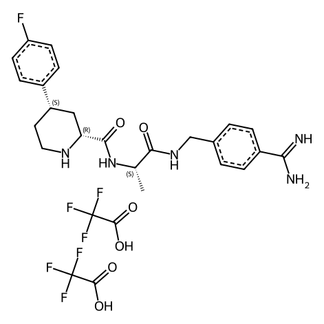 C[C@H](NC(=O)[C@H]1C[C@@H](c2ccc(F)cc2)CCN1)C(=O)NCc1ccc(C(=N)N)cc1.O=C(O)C(F)(F)F.O=C(O)C(F)(F)F